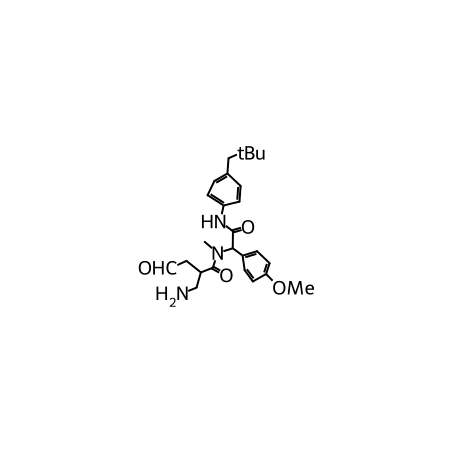 COc1ccc(C(C(=O)Nc2ccc(CC(C)(C)C)cc2)N(C)C(=O)C(CN)CC=O)cc1